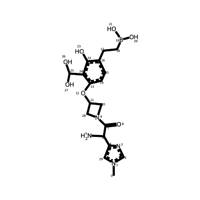 Cn1cnc(C(N)C(=O)N2CC(Oc3ccc(CCB(O)O)c(O)c3C(O)O)C2)c1